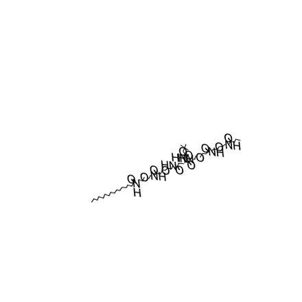 CCCCCCCCCCCCCCCC(=O)NCCOCCNC(=O)CCOCCNC(=O)CC[C@H](NC(=O)OC(C)(C)C)C(=O)NCCOCCC(=O)NCCOCCNC(=O)CCC